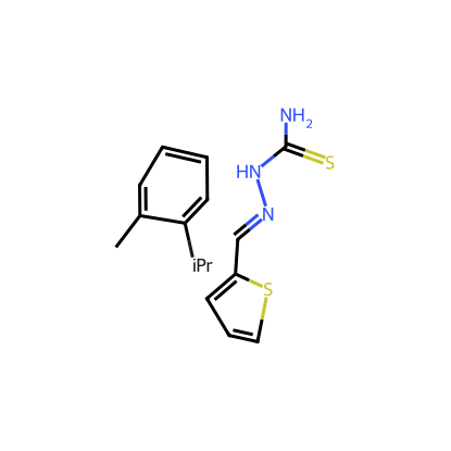 Cc1ccccc1C(C)C.NC(=S)NN=Cc1cccs1